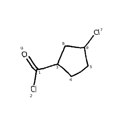 O=C(Cl)C1CCC(Cl)C1